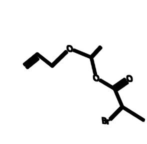 C=CCOC(C)OC(=O)C(C)Br